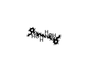 C=CCc1ccccc1OCC(O)CNCCNCC(O)COc1ccccc1CC=C